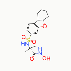 CC(C)(NS(=O)(=O)c1ccc2c(c1)OC1CCCCC21)C(=O)NO